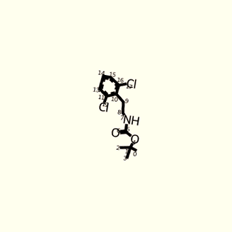 CC(C)(C)OC(=O)NCCc1c(Cl)[c]ccc1Cl